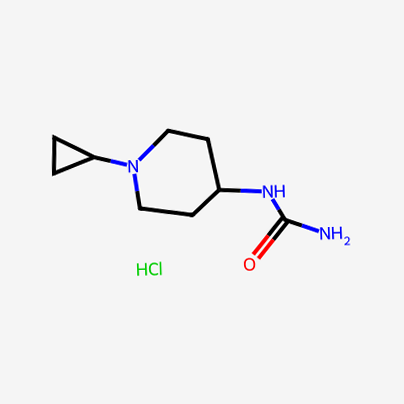 Cl.NC(=O)NC1CCN(C2CC2)CC1